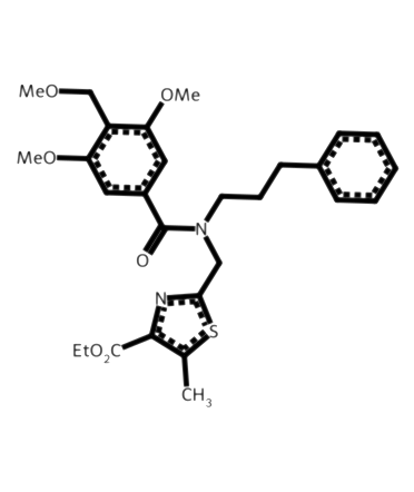 CCOC(=O)c1nc(CN(CCCc2ccccc2)C(=O)c2cc(OC)c(COC)c(OC)c2)sc1C